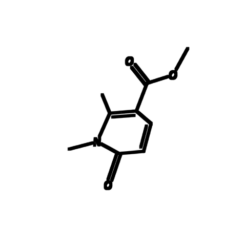 COC(=O)c1ccc(=O)n(C)c1C